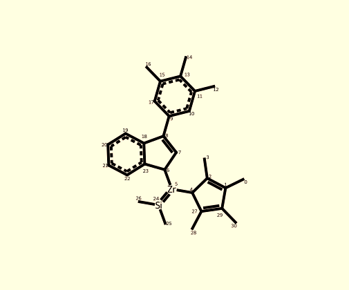 CC1=C(C)[CH]([Zr]([CH]2C=C(c3cc(C)c(C)c(C)c3)c3ccccc32)=[Si](C)C)C(C)=C1C